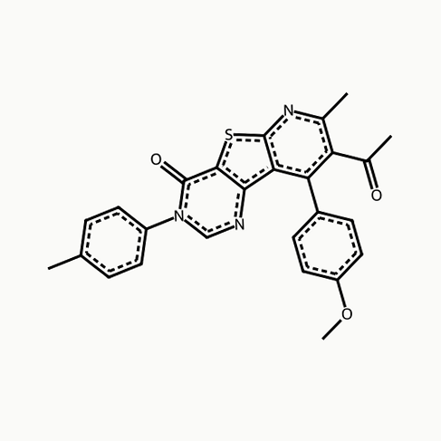 COc1ccc(-c2c(C(C)=O)c(C)nc3sc4c(=O)n(-c5ccc(C)cc5)cnc4c23)cc1